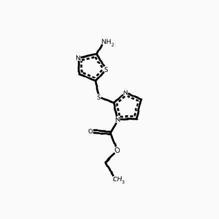 CCOC(=O)n1ccnc1Sc1cnc(N)s1